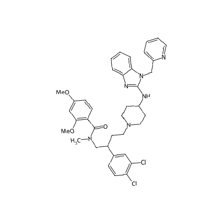 COc1ccc(C(=O)N(C)CC(CCN2CCC(Nc3nc4ccccc4n3Cc3ccccn3)CC2)c2ccc(Cl)c(Cl)c2)c(OC)c1